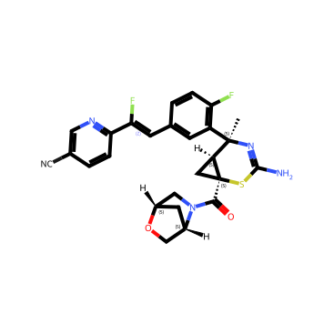 C[C@]1(c2cc(/C=C(\F)c3ccc(C#N)cn3)ccc2F)N=C(N)S[C@@]2(C(=O)N3C[C@@H]4C[C@H]3CO4)C[C@H]21